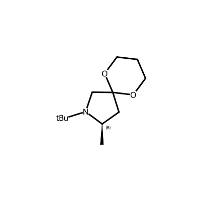 C[C@@H]1CC2(CN1C(C)(C)C)OCCCO2